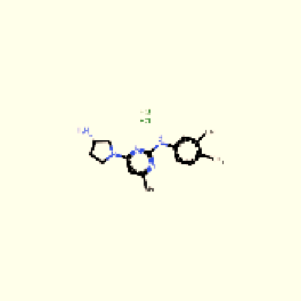 CCCc1cc(N2CC[C@H](N)C2)nc(Nc2ccc(C)c(C#N)c2)n1.Cl.Cl